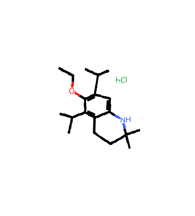 CCOc1c(C(C)C)cc2c(c1C(C)C)CCC(C)(C)N2.Cl